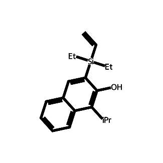 C=C[Si](CC)(CC)c1cc2ccccc2c(C(C)C)c1O